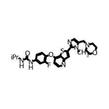 CC(C)NC(=O)Nc1ccc(Oc2ccnc3cc(-c4ncc(CN5CCOCC5)n4C)sc23)c(F)c1